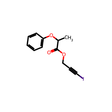 CC(Oc1ccccc1)C(=O)OCC#CI